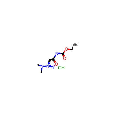 CC[C@H](C)COC(=O)[N-]c1c[n+](N(C)C)no1.Cl